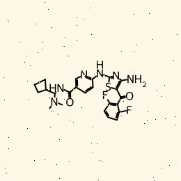 CN(C)C(NC(=O)c1ccc(Nc2nc(N)c(C(=O)c3c(F)cccc3F)s2)nc1)C1CCC1